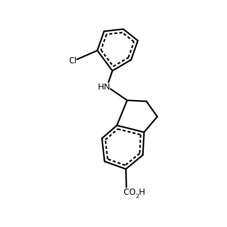 O=C(O)c1ccc2c(c1)CCC2Nc1ccccc1Cl